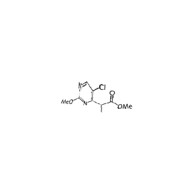 COC(=O)C(C)c1nc(OC)ncc1Cl